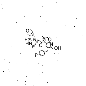 C[C@@H]1CN(CC(=O)N2c3cc(Cc4ccc(F)cc4)c(CO)nc3OC[C@@H]2C)[C@@H](CN2CCOCC2C(F)F)CN1